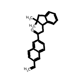 C=Cc1ccc2cc(C(=O)CC3c4ccccc4CC3(C)C)ccc2c1